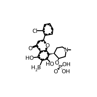 Bc1c(O)c([C@H]2CCN(C)C[C@H]2OP(=O)(O)O)c2oc(-c3ccccc3Cl)cc(=O)c2c1O